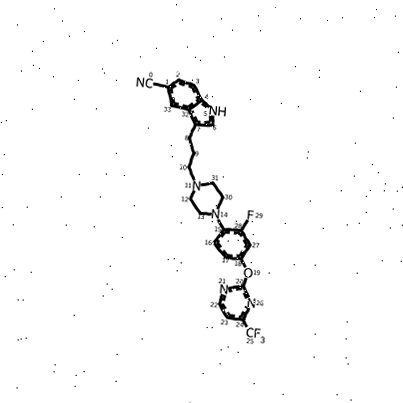 N#Cc1ccc2[nH]cc(CCCN3CCN(c4ccc(Oc5nccc(C(F)(F)F)n5)cc4F)CC3)c2c1